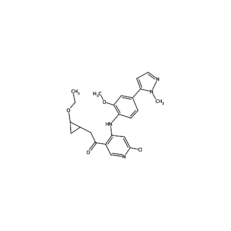 CCOC1CC1CC(=O)c1cnc(Cl)cc1Nc1ccc(-c2ccnn2C)cc1OC